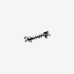 CC(C)CC(C)(C(=O)OCCCCCCCCCCCn1ccc(=O)[nH]c1=O)C(C)C